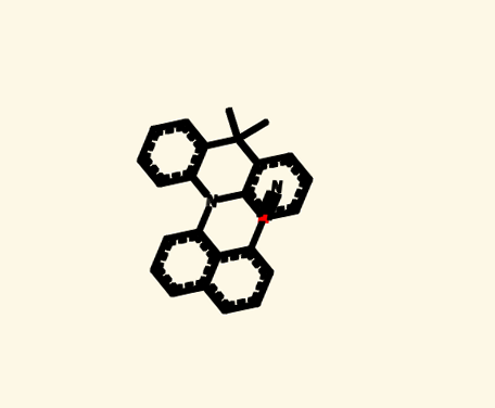 CC1(C)c2ccccc2N(c2cccc3cccc(C#N)c23)c2ccccc21